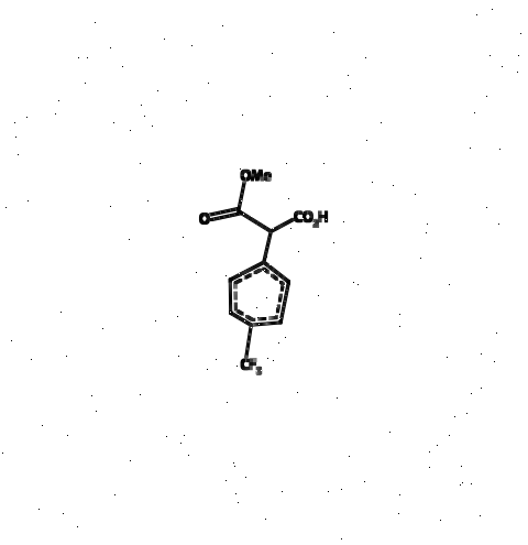 COC(=O)C(C(=O)O)c1ccc(C(F)(F)F)cc1